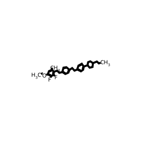 CCCC1CCC(c2ccc(CCc3ccc(CCc4c(C)cc(OCC)c(F)c4F)cc3)cc2)CC1